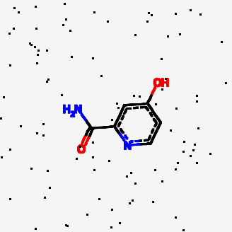 NC(=O)c1cc(O)ccn1